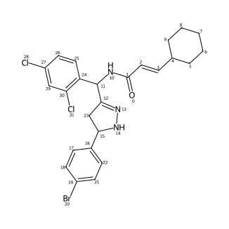 O=C(C=CC1CCCCC1)NC(C1=NNC(c2ccc(Br)cc2)C1)c1ccc(Cl)cc1Cl